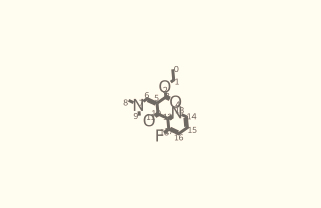 CCOC(=O)/C(=C/N(C)C)C(=O)c1ncccc1F